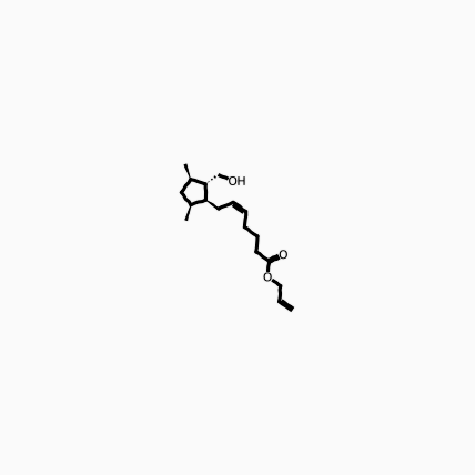 C=CCOC(=O)CCC/C=C\C[C@@H]1[C@@H](CO)[C@H](C)C[C@@H]1C